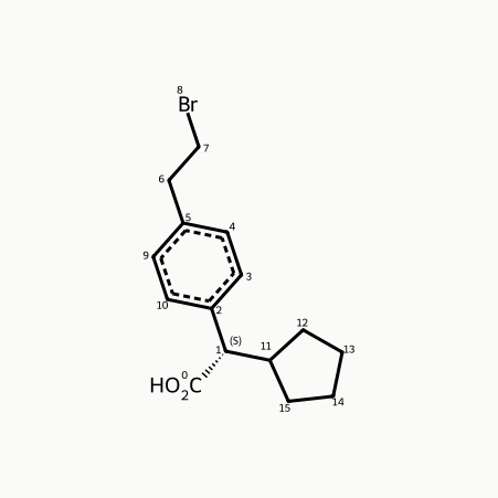 O=C(O)[C@H](c1ccc(CCBr)cc1)C1CCCC1